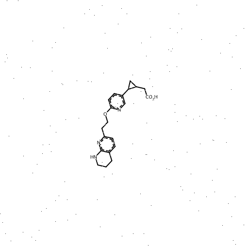 O=C(O)CC1CC1c1ccc(OCCc2ccc3c(n2)NCCC3)nc1